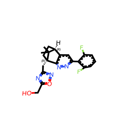 CC1(C)[C@H]2CC[C@]1(Cc1noc(CO)n1)c1nnc(-c3c(F)cccc3F)cc12